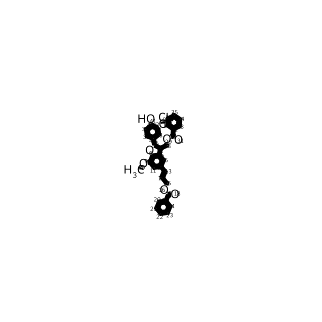 COc1cc(C2Oc3c(OC)cc(/C=C/COC(=O)c4ccccc4)cc3C2COC(=O)c2ccccc2)ccc1O